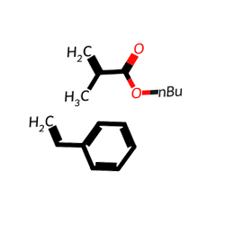 C=C(C)C(=O)OCCCC.C=Cc1ccccc1